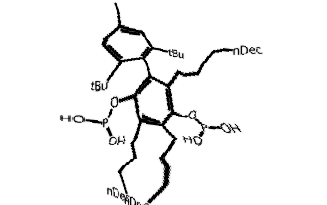 CCCCCCCCCCCCCc1c(CCCCCCCCCCCCC)c(OP(O)O)c(-c2c(C(C)(C)C)cc(C)cc2C(C)(C)C)c(CCCCCCCCCCCCC)c1OP(O)O